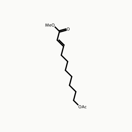 COC(=O)C=CCCCCCCCOC(C)=O